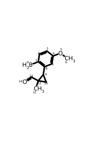 Bc1ccc(OC)cc1C1CC1(C)C=O